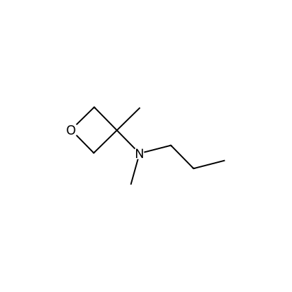 CCCN(C)C1(C)COC1